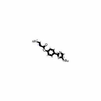 CCC/C=C/C(=O)Oc1ccc(-c2ncc(CCCC)s2)cc1